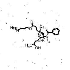 CC(O)CNC(=O)C(C)(CC(C)(C#N)CCC(=O)OCCCN=[N+]=[N-])SC(=S)c1ccccc1